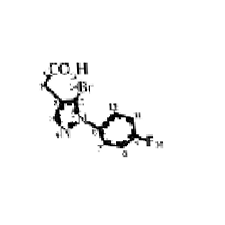 O=C(O)Cc1cnn(-c2ccc(F)cc2)c1Br